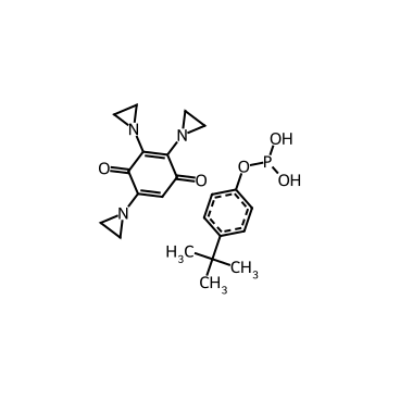 CC(C)(C)c1ccc(OP(O)O)cc1.O=C1C=C(N2CC2)C(=O)C(N2CC2)=C1N1CC1